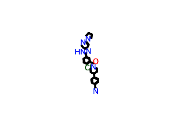 N#Cc1ccc(C2CCN(C(=O)c3cc(-c4nc5cc(N6CCCC6)ncc5[nH]4)ccc3Cl)CC2)cc1